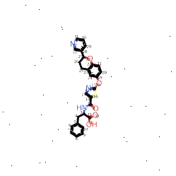 O=C(NC(Cc1ccccc1)C(=O)O)c1cnc(Oc2ccc3c(c2)CCC(c2cccnc2)O3)s1